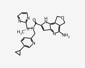 C[C@H](c1ncccn1)N(Cc1ccc(C2CC2)cn1)C(=O)c1cc2nc(N)c3c(c2[nH]1)COC3